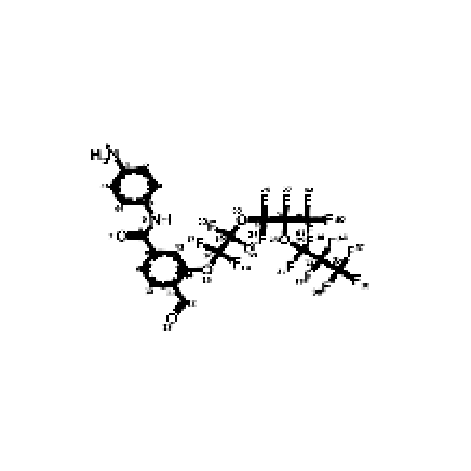 Nc1ccc(NC(=O)c2ccc(C=O)c(OC(F)(F)C(F)(Br)OC(F)(F)C(F)(OC(F)(F)C(F)(F)C(F)(F)F)C(F)(F)F)c2)cc1